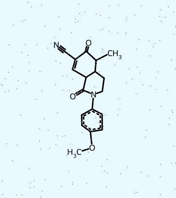 COc1ccc(N2CCC3C(C)C(=O)C(C#N)=CC3C2=O)cc1